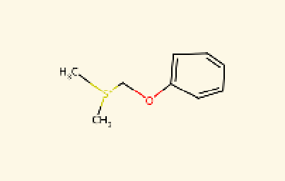 C[S+](C)COc1ccccc1